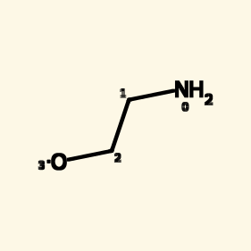 NCC[O]